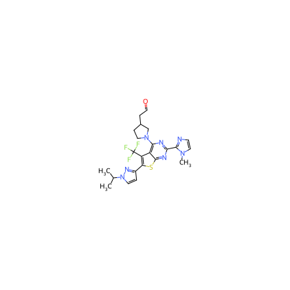 CC(C)n1ccc(-c2sc3nc(-c4nccn4C)nc(N4CCC(CC=O)C4)c3c2C(F)(F)F)n1